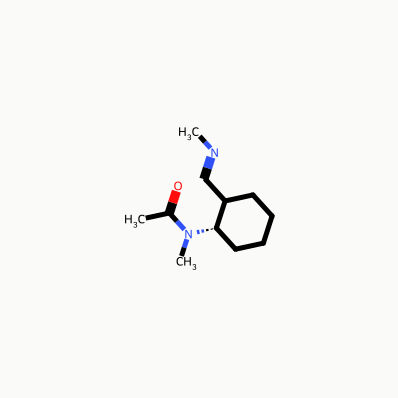 CN=CC1CCCC[C@@H]1N(C)C(C)=O